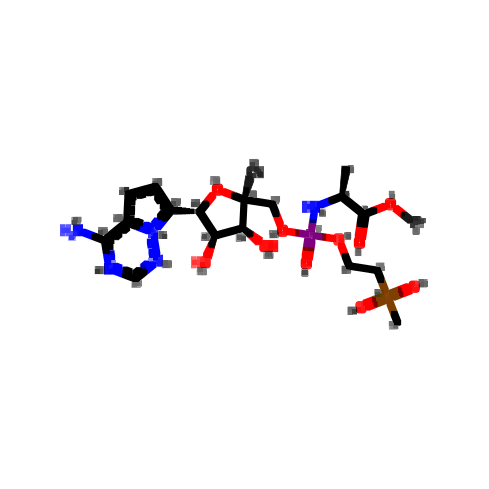 CC(C)OC(=O)[C@H](C)NP(=O)(OCCS(C)(=O)=O)OC[C@@]1(C#N)O[C@@H](c2ccc3c(N)ncnn23)[C@H](O)[C@@H]1O